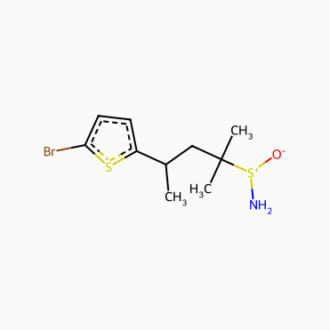 CC(CC(C)(C)[S+](N)[O-])c1ccc(Br)s1